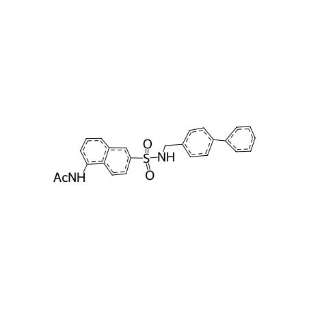 CC(=O)Nc1cccc2cc(S(=O)(=O)NCc3ccc(-c4ccccc4)cc3)ccc12